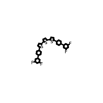 Fc1cc(F)cc(-c2ccc(-c3ccc(-c4ccc(-c5ccc(-c6ccc(-c7cc(F)cc(F)c7)cc6)s5)s4)s3)cc2)c1